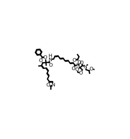 CCC(=O)ON(C(=O)/C=C/C=C/C=C/C=C\CNC(=O)C(C)(C)C(OC(=O)c1ccccc1)\C(C)=C/C=C\C=C\Cc1cnc(C)o1)C1(C(=O)N(C)CC(C)OC)COCO1